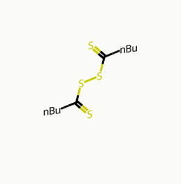 CCCCC(=S)SSC(=S)CCCC